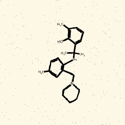 Cc1ccc(PC(C)(C)c2cccc(C)c2O)c(CN2CCCCC2)c1